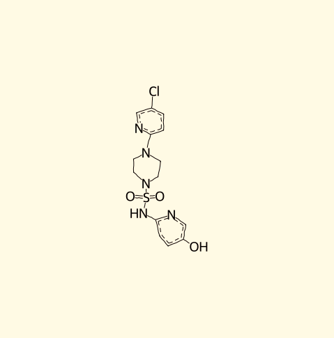 O=S(=O)(Nc1ccc(O)cn1)N1CCN(c2ccc(Cl)cn2)CC1